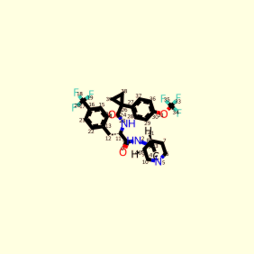 O=C(N[C@@H]1C[N@]2CC[C@H]1CC2)[C@H](Cc1ccc(C(F)(F)F)cc1)NC(=O)C1(c2ccc(OC(F)(F)F)cc2)CC1